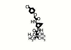 CN(C)C(C)(C)C(=O)N[C@@H]1C[C@H](NC(=O)COc2ccc(Cl)cc2)C2CC21